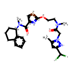 Cc1cc(C(F)F)nn1CC(=O)N(C)CCOc1nc(C(=O)N(C)[C@@H]2CCCc3ccccc32)cs1